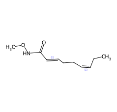 CC/C=C\CC/C=C/C(=O)NOC